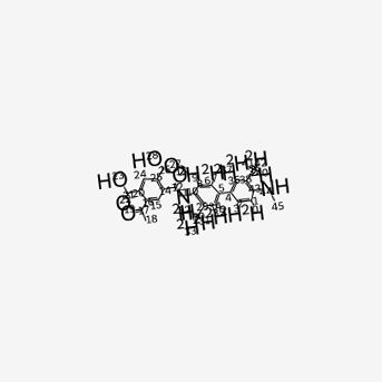 [2H]c1c([2H])c(-c2c([2H])c([2H])c(NC(=O)c3cc(C(C)=O)c(C(=O)O)cc3C(=O)O)c(C([2H])([2H])[2H])c2[2H])c([2H])c(C([2H])([2H])[2H])c1NC